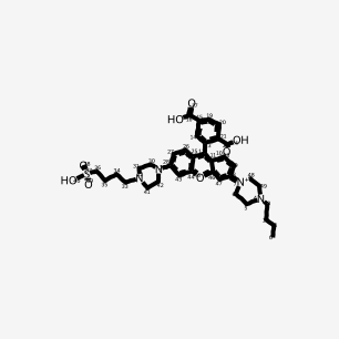 CCCCN1CC[N+](=c2ccc3c(-c4cc(C(=O)O)ccc4C(=O)O)c4ccc(N5CCN(CCCCS(=O)(=O)O)CC5)cc4oc-3c2)CC1